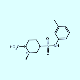 Cc1cccc(NS(=O)(=O)N2CCN(C(=O)O)[C@H](C)C2)c1